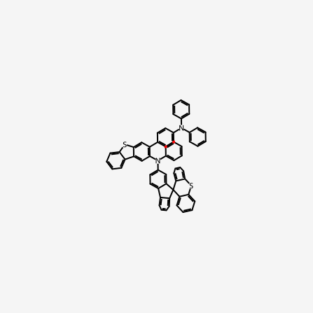 c1ccc(N(c2ccccc2)c2ccc(-c3cc4sc5ccccc5c4cc3N(c3ccccc3)c3ccc4c(c3)C3(c5ccccc5Sc5ccccc53)c3ccccc3-4)cc2)cc1